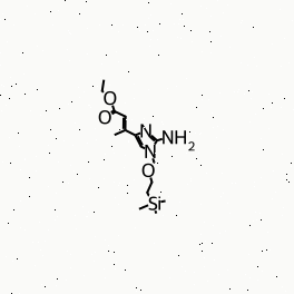 CCOC(=O)/C=C(\C)c1cn(COCC[Si](C)(C)C)c(N)n1